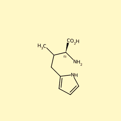 CC(Cc1ccc[nH]1)[C@H](N)C(=O)O